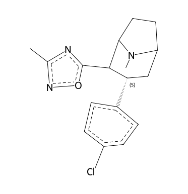 Cc1noc(C2C3CCC(C[C@@H]2c2ccc(Cl)cc2)N3C)n1